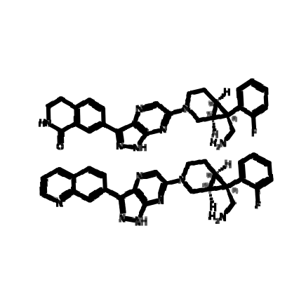 NC[C@]1(c2ccccc2F)[C@@H]2CCN(c3cnc4c(-c5ccc6c(c5)C(=O)NCC6)n[nH]c4n3)C[C@@H]21.NC[C@]1(c2ccccc2F)[C@@H]2CCN(c3cnc4c(-c5ccc6cccnc6c5)n[nH]c4n3)C[C@@H]21